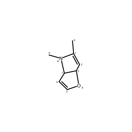 CC1=CC2OC=CC2N1C